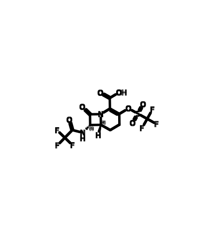 O=C(O)C1=C(OS(=O)(=O)C(F)(F)F)CC[C@@H]2[C@H](NC(=O)C(F)(F)F)C(=O)N12